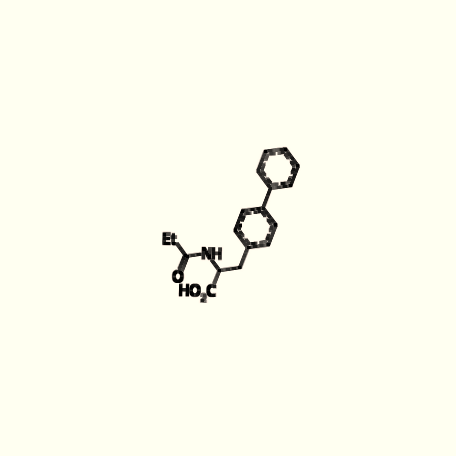 CCC(=O)NC(Cc1ccc(-c2ccccc2)cc1)C(=O)O